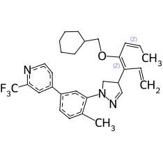 C=C/C(=C(\C=C/C)OCC1CCCCC1)C1C=NN(c2cc(-c3ccnc(C(F)(F)F)c3)ccc2C)C1